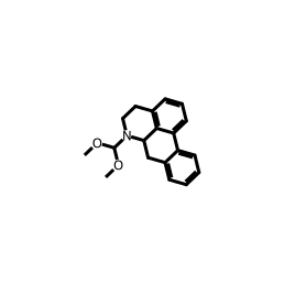 COC(OC)N1CCc2cccc3c2C1Cc1ccccc1-3